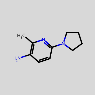 Cc1nc(N2CCCC2)ccc1N